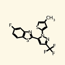 Cc1csc(-n2nc(C(F)(F)F)cc2-c2nc3cc(F)ccc3s2)c1